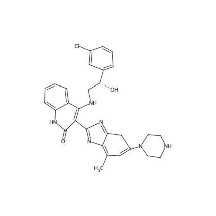 CC1=C2N=C(c3c(NC[C@@H](O)c4cccc(Cl)c4)c4ccccc4[nH]c3=O)N=C2CC(N2CCNCC2)=C1